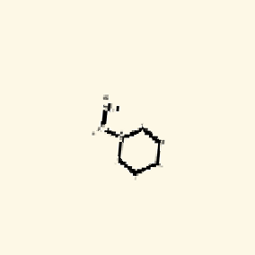 CCCCON1C[CH][CH]CC1